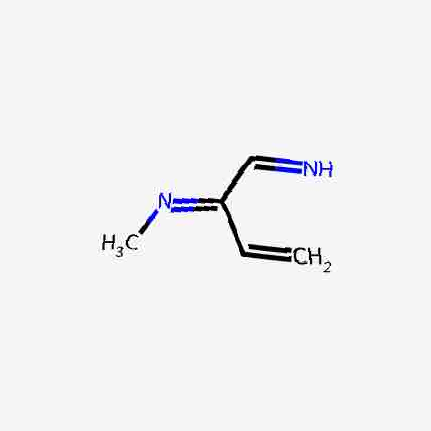 C=C/C(C=N)=N\C